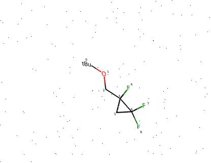 CC(C)(C)OCC1(F)CC1(F)F